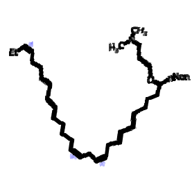 CC/C=C\CCCCCCCCCC/C=C\C/C=C\CCCCCCCCC(CCCCCCCCC)OCCCN(C)C